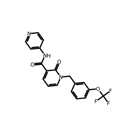 O=C(Nc1ccncc1)c1cccn(Cc2cccc(OC(F)(F)F)c2)c1=O